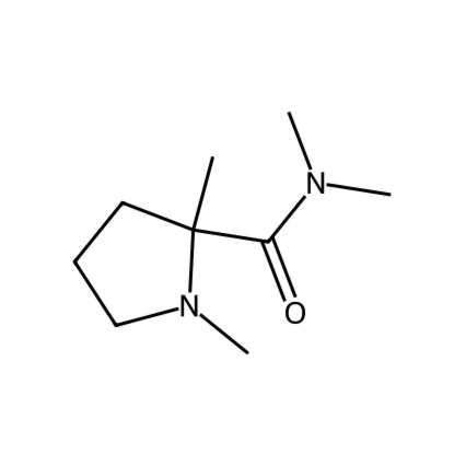 CN(C)C(=O)C1(C)CCCN1C